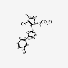 CCOC(=O)Cn1nc(C)c(Cl)c1-c1nnc(-c2cccc(C)c2)o1